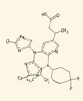 CC(C)CN(c1ncc(C(C)CC(=O)O)cc1N(c1nc(Cl)ns1)c1nc(Cl)ns1)C1CCC(F)(F)CC1